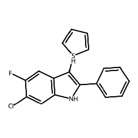 Fc1cc2c([SH]3C=CC=C3)c(-c3ccccc3)[nH]c2cc1Cl